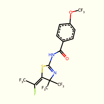 O=C(NC1=NC(C(F)(F)F)(C(F)(F)F)/C(=C(\F)C(F)(F)F)S1)c1ccc(OC(F)(F)F)cc1